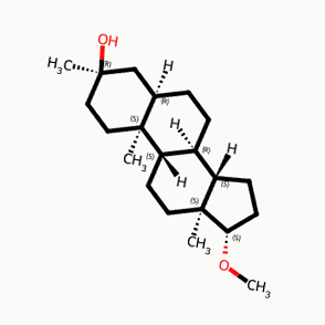 CO[C@H]1CC[C@H]2[C@@H]3CC[C@@H]4C[C@](C)(O)CC[C@]4(C)[C@H]3CC[C@]12C